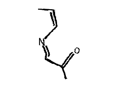 C/C=C\N=C/C(C)=O